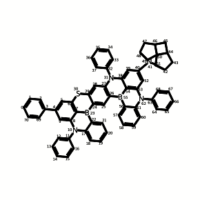 c1ccc(-c2cc3c4c(c2)N(c2ccccc2)c2ccccc2B4c2cc4c(cc2S3)N(c2ccccc2)c2cc(N3C5CC6CC7CC3CC67C5)cc3c2B4c2ccccc2N3c2ccccc2)cc1